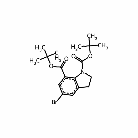 CC(C)(C)OC(=O)c1cc(Br)cc2c1N(C(=O)OC(C)(C)C)CC2